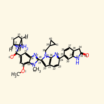 COc1cc(C(=O)N2C[C@H]3CC[C@@H]2[C@@H]3N)cc2nc(-c3cc4ccc(-c5ccc6c(c5)NC(=O)C6)nc4n3CC3CC3)n(C)c12